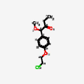 CCC(=O)C(OC)c1ccc(OCCCl)cc1